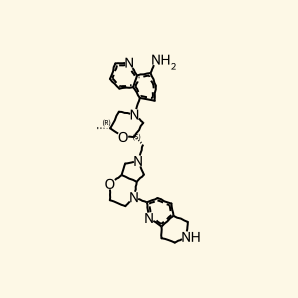 C[C@@H]1CN(c2ccc(N)c3ncccc23)C[C@H](CN2CC3OCCN(c4ccc5c(n4)CCNC5)C3C2)O1